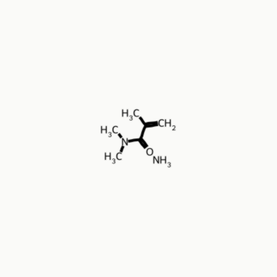 C=C(C)C(=O)N(C)C.N